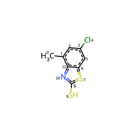 Cc1cc(Cl)cc2sc(S)nc12